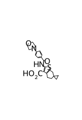 O=C(Nc1sc2c(c1C(=O)O)CCC1(CC1)C2)c1ccc(N2CCOCC2)cc1